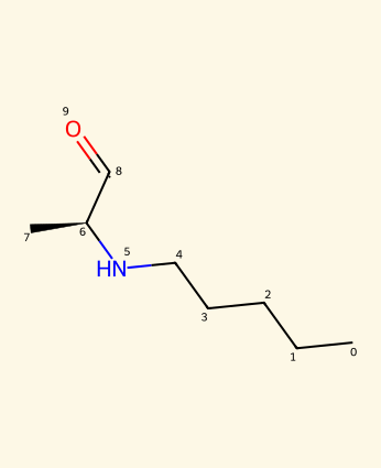 CCCCCN[C@@H](C)[C]=O